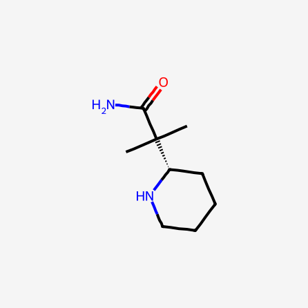 CC(C)(C(N)=O)[C@@H]1CCCCN1